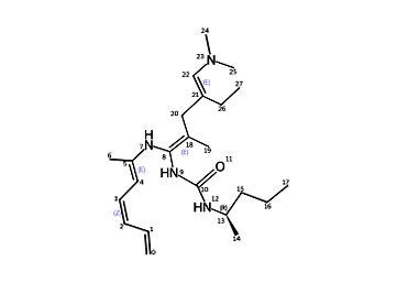 C=C/C=C\C=C(/C)N/C(NC(=O)N[C@H](C)CCC)=C(/C)C/C(=C/N(C)C)CC